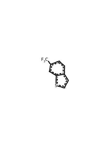 FC(F)(F)c1ccc2c[c]sc2c1